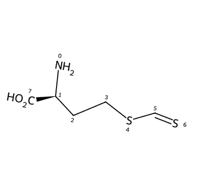 N[C@@H](CCSC=S)C(=O)O